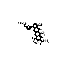 CN(C)C1C(O)=C(C(N)=O)C(=O)C2(O)C(O)=C3C(=O)c4c(O)ccc(-c5ccc(CNC(C)(C)C)s5)c4CC3CC12